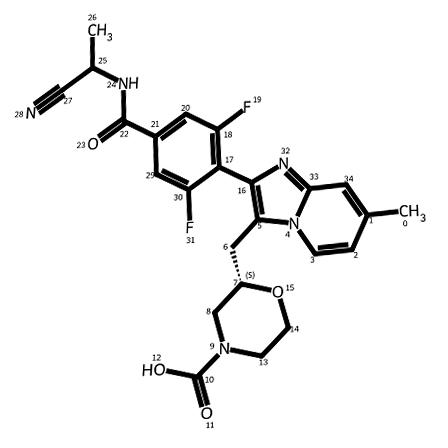 Cc1ccn2c(C[C@H]3CN(C(=O)O)CCO3)c(-c3c(F)cc(C(=O)NC(C)C#N)cc3F)nc2c1